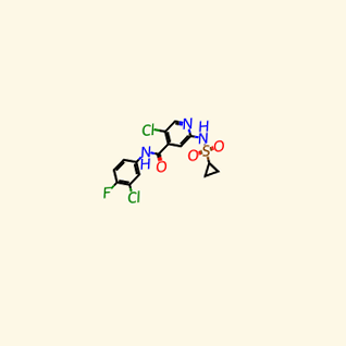 O=C(Nc1ccc(F)c(Cl)c1)c1cc(NS(=O)(=O)C2CC2)ncc1Cl